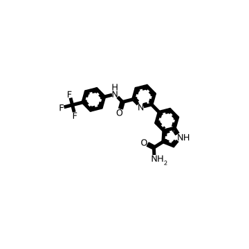 NC(=O)c1c[nH]c2ccc(-c3cccc(C(=O)Nc4ccc(C(F)(F)F)cc4)n3)cc12